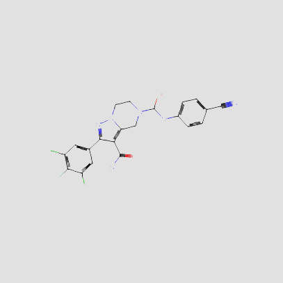 N#Cc1ccc(NC(O)N2CCn3nc(-c4cc(Cl)c(F)c(Cl)c4)c(C(N)=O)c3C2)cc1